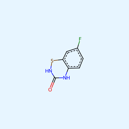 O=C1NSc2cc(F)ccc2N1